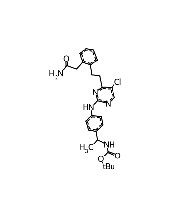 CC(NC(=O)OC(C)(C)C)c1ccc(Nc2ncc(Cl)c(CCc3ccccc3CC(N)=O)n2)cc1